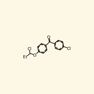 CCC(Cl)Oc1ccc(C(=O)c2ccc(Cl)cc2)cc1